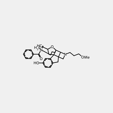 C#CC1OC23CCC(N(C)C(=O)c4ccccc4)C1C21c2cc(O)ccc2CC12CN(CCCOC)C23